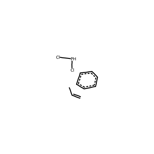 C=CC.ClPCl.c1ccccc1